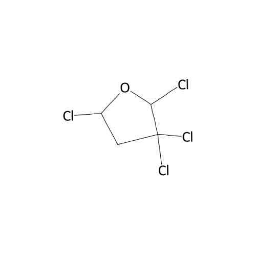 ClC1CC(Cl)(Cl)C(Cl)O1